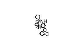 Clc1ccccc1Oc1ccc2c(c1)[C@H]1OCC[C@H]1C(C1CCCCC1)N2